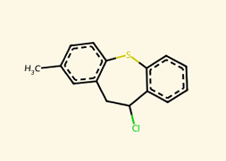 Cc1ccc2c(c1)CC(Cl)c1ccccc1S2